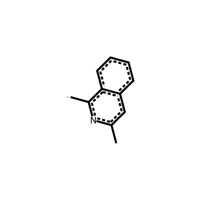 [CH2]c1nc(C)cc2ccccc12